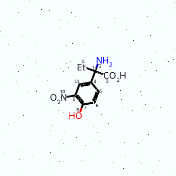 CCC(N)(C(=O)O)c1ccc(O)c([N+](=O)[O-])c1